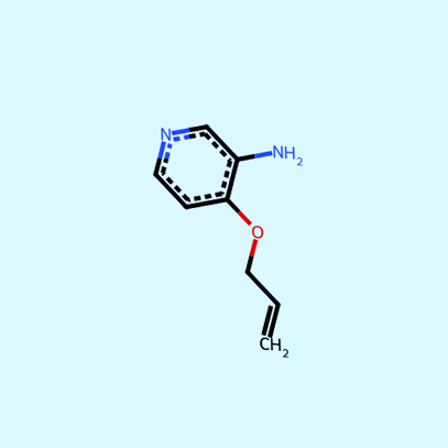 C=CCOc1ccncc1N